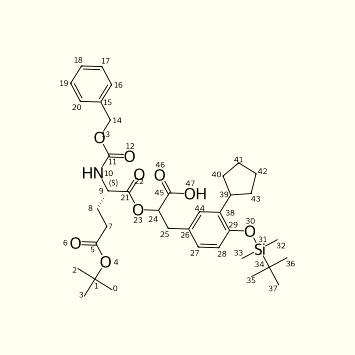 CC(C)(C)OC(=O)CC[C@H](NC(=O)OCc1ccccc1)C(=O)OC(Cc1ccc(O[Si](C)(C)C(C)(C)C)c(C2CCCC2)c1)C(=O)O